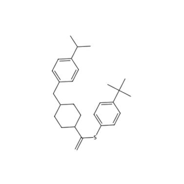 C=C(Sc1ccc(C(C)(C)C)cc1)C1CCC(Cc2ccc(C(C)C)cc2)CC1